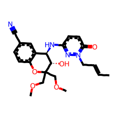 CC=CCn1nc(N[C@@H]2c3cc(C#N)ccc3OC(COC)(COC)[C@H]2O)ccc1=O